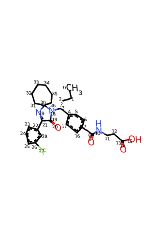 CCC[C@H](c1ccc(C(=O)NCCC(=O)O)cc1)N1C(=O)C(c2cccc(F)c2)=NC12CCCCCC2